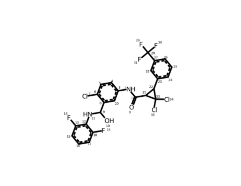 O=C(Nc1ccc(Cl)c(C(O)Nc2c(F)cccc2F)c1)C1C(c2cccc(C(F)(F)F)c2)C1(Cl)Cl